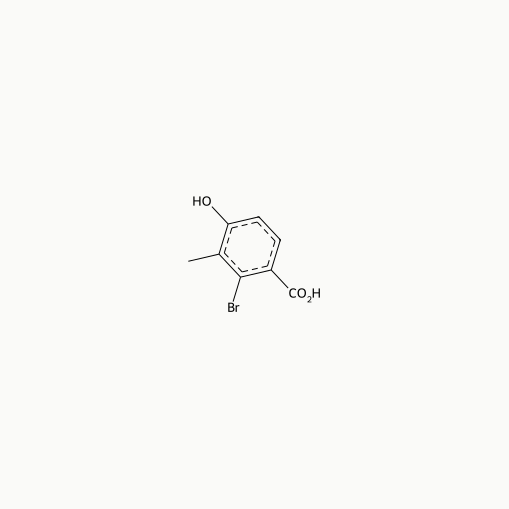 Cc1c(O)ccc(C(=O)O)c1Br